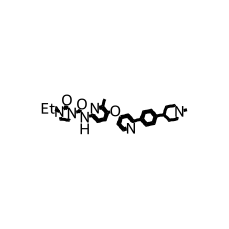 CCN1CCN(C(=O)Nc2ccc(Oc3ccnc(-c4ccc(C5CCN(C)CC5)cc4)c3)c(C)n2)C1=O